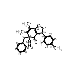 CC1=C(C)C(N)(Cc2ccccc2)C(C)C2=C1OCC2c1ccc(C)cc1